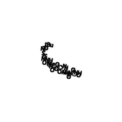 COc1cc(/N=N\c2cccc3c2CN(C2CCC(=O)NC2=O)C3=O)cc(OC)c1OCC(=O)N1CCC(C(=O)Nc2ncc(SCc3ncc(C(C)(C)C)o3)s2)CC1